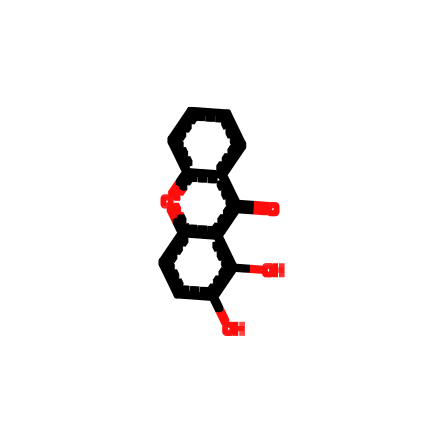 O=c1c2ccccc2oc2ccc(O)c(O)c12